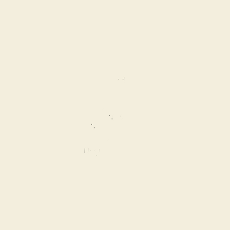 Cn1c(CCO)cnc1CC(=O)O